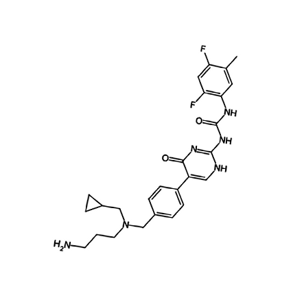 Cc1cc(NC(=O)Nc2nc(=O)c(-c3ccc(CN(CCCN)CC4CC4)cc3)c[nH]2)c(F)cc1F